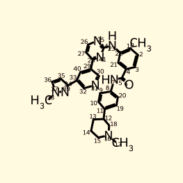 Cc1ccc(C(=O)Nc2ccc(C3CCCN(C)C3)cc2)cc1Nc1nccc(-c2cncc(-c3ccn(C)n3)c2)n1